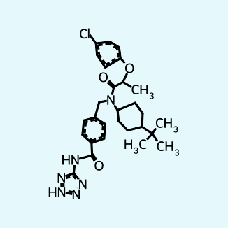 CC(Oc1ccc(Cl)cc1)C(=O)N(Cc1ccc(C(=O)Nc2nn[nH]n2)cc1)C1CCC(C(C)(C)C)CC1